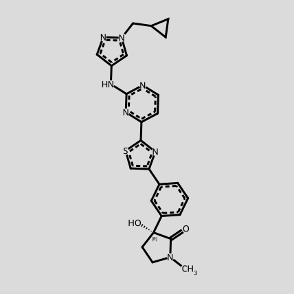 CN1CC[C@@](O)(c2cccc(-c3csc(-c4ccnc(Nc5cnn(CC6CC6)c5)n4)n3)c2)C1=O